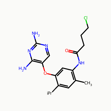 Cc1cc(C(C)C)c(Oc2cnc(N)nc2N)cc1NC(=O)CCCCl